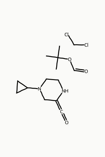 CC(C)(C)OC=O.ClCCl.O=C=C1CN(C2CC2)CCN1